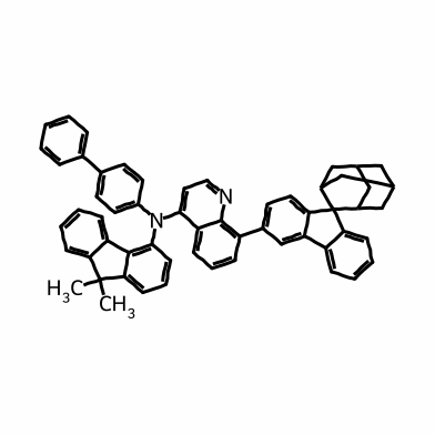 CC1(C)c2ccccc2-c2c(N(c3ccc(-c4ccccc4)cc3)c3ccnc4c(-c5ccc6c(c5)-c5ccccc5C65C6CC7CC(C6)CC5C7)cccc34)cccc21